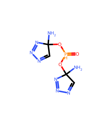 NC1(O[PH](=O)OC2(N)C=NN=N2)C=NN=N1